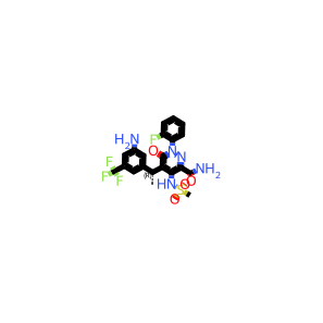 C[C@H](c1cc(N)cc(C(F)(F)F)c1)c1c(NS(C)(=O)=O)c(C(N)=O)nn(-c2ccccc2F)c1=O